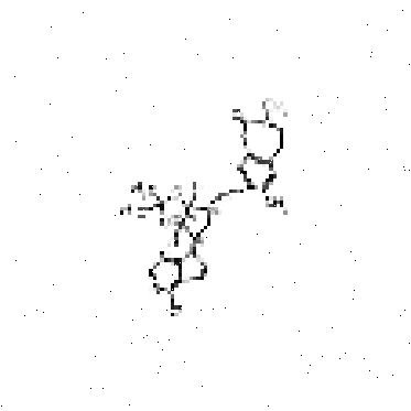 Cc1cc2c(cc1OC[C@H]1C[C@@H](n3ccc4c(Cl)ncnc43)[C@@H]3OC(C)(C)O[C@H]13)CC(=O)N(C)CC2